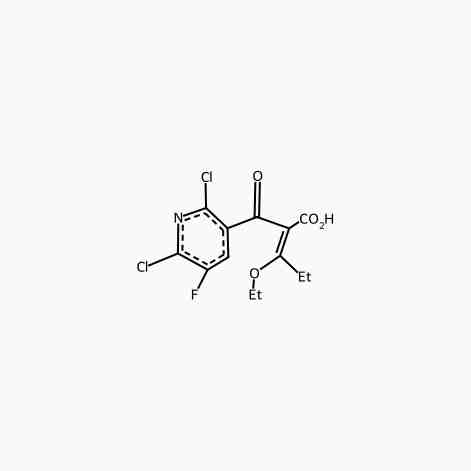 CCOC(CC)=C(C(=O)O)C(=O)c1cc(F)c(Cl)nc1Cl